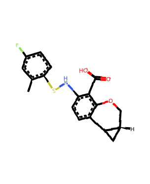 Cc1cc(F)ccc1SNc1ccc2c(c1C(=O)O)OC[C@@H]1CC21